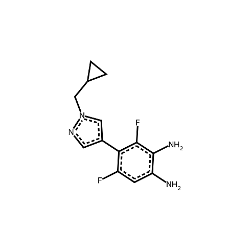 Nc1cc(F)c(-c2cnn(CC3CC3)c2)c(F)c1N